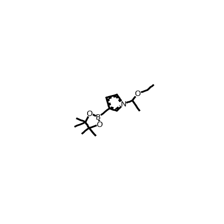 CCOC(C)n1ccc(B2OC(C)(C)C(C)(C)O2)c1